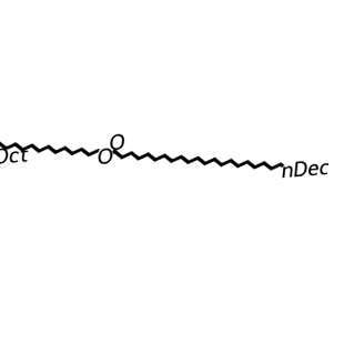 CCCCCCCC/C=C\CCCCCCCCCCCCOC(=O)CCCCCCCCCCCCCCCCCCCCCCCCCCCCCC